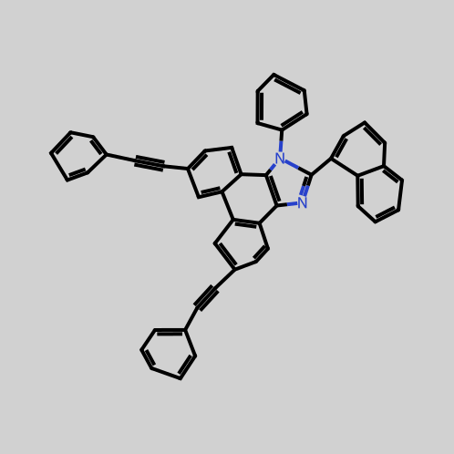 C(#Cc1ccc2c(c1)c1cc(C#Cc3ccccc3)ccc1c1c2nc(-c2cccc3ccccc23)n1-c1ccccc1)c1ccccc1